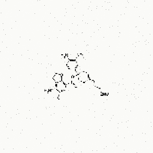 Nc1ccc(C2(OC(=O)c3cc(Cl)c(N)c4c3OCC4)CCN(CCCC=O)CC2)cc1[N+](=O)[O-]